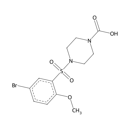 COc1ccc(Br)cc1S(=O)(=O)N1CCN(C(=O)O)CC1